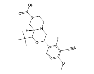 COc1ccc([C@H]2CN3CCN(C(=O)O)C[C@H]3C(C(C)(C)C)O2)c(F)c1C#N